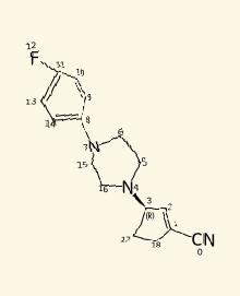 N#CC1=C[C@H](N2CCN(c3ccc(F)cc3)CC2)CC1